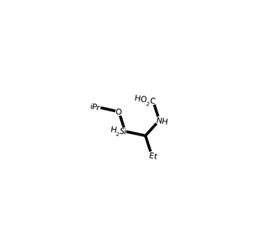 CCC(NC(=O)O)[SiH2]OC(C)C